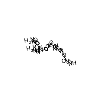 Nc1nc2cc(-c3nn(Cc4ccc5c(c4)CCN(C(=O)c4cnc(N6CCN(CCOCCC(=O)N7CCNCC7)CC6)nc4)C5)c4ncnc(N)c34)ccc2o1